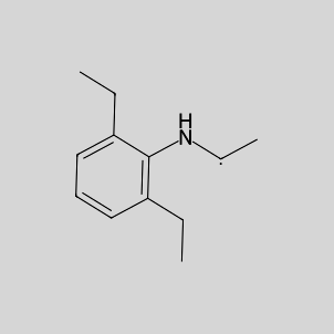 C[CH]Nc1c(CC)cccc1CC